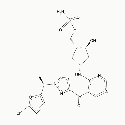 C[C@H](c1ccc(Cl)o1)n1ccc(C(=O)c2cncnc2N[C@@H]2C[C@H](COS(N)(=O)=O)[C@@H](O)C2)n1